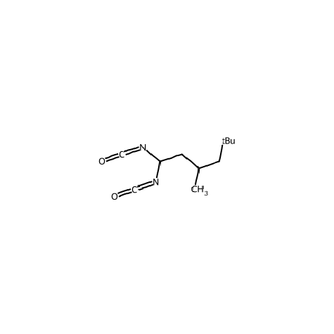 CC(CC(N=C=O)N=C=O)CC(C)(C)C